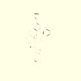 CCOC(=O)C1=C(CN2CCN3C(=O)N(C45CC(CN6CCCC6=O)(C4)C5)C[C@@H]3C2)NC(c2nccs2)=N[C@H]1c1cccc(F)c1C